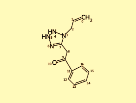 C=CCN1NNN=C1CC(=O)c1ccccc1